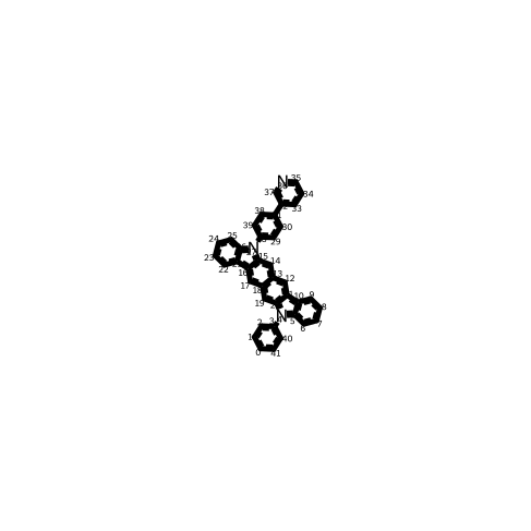 c1ccc(-n2c3ccccc3c3cc4cc5c(cc4cc32)c2ccccc2n5-c2ccc(-c3cccnc3)cc2)cc1